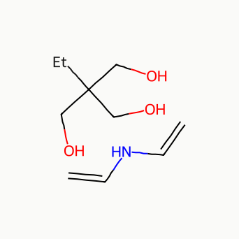 C=CNC=C.CCC(CO)(CO)CO